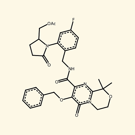 CC(=O)OCC1CCC(=O)N1c1cc(F)ccc1CNC(=O)c1nc2n(c(=O)c1OCc1ccccc1)CCOC2(C)C